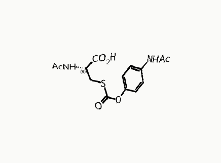 CC(=O)Nc1ccc(OC(=O)SC[C@H](NC(C)=O)C(=O)O)cc1